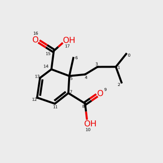 CC(C)CCC1(C)C(C(=O)O)=CC=CC1C(=O)O